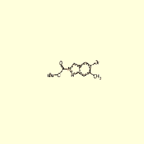 Cc1cc2nn(C(=O)OC(C)(C)C)cc2cc1Br